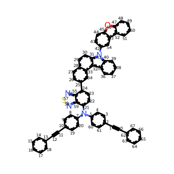 C(#Cc1ccc(N(c2ccc(C#Cc3ccccc3)cc2)c2ccc(-c3ccc4ccc5c(c4c3)c3ccccc3n5-c3ccc4oc5ccccc5c4c3)c3nsnc23)cc1)c1ccccc1